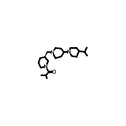 CC(C)C(=O)N1CCC[C@@H](CN2CCC(N3CCC(C(C)C)CC3)CC2)C1